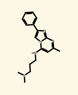 Cc1cc(NCCCN(C)C)n2cc(-c3ccccc3)nc2n1